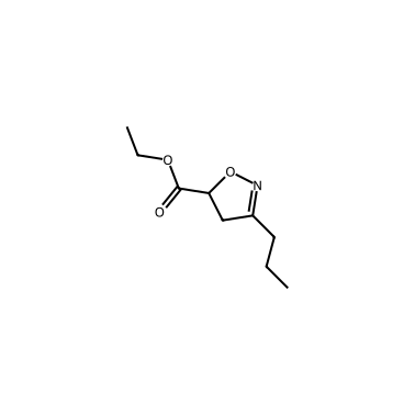 CCCC1=NOC(C(=O)OCC)C1